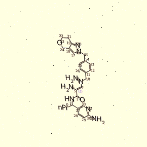 CCCC(NC(=O)/C(N)=C/N(N)Cc1ccc(Cn2cc3c(n2)CCOC3)cc1)c1ccc(N)nc1